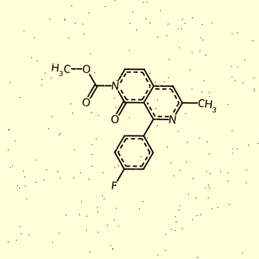 COC(=O)n1ccc2cc(C)nc(-c3ccc(F)cc3)c2c1=O